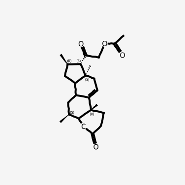 CC(=O)OCC(=O)[C@H]1[C@H](C)CC2C3C[C@H](C)C4CC(=O)CC[C@@]4(C)C3=CC[C@@]21C